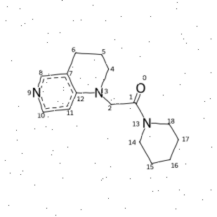 O=C(CN1CCCc2cnccc21)N1CCCCC1